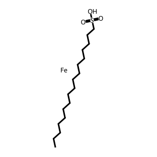 CCCCCCCCCCCCCCCCCS(=O)(=O)O.[Fe]